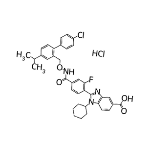 CC(C)c1ccc(-c2ccc(Cl)cc2)c(CONC(=O)c2ccc(-c3nc4cc(C(=O)O)ccc4n3C3CCCCC3)c(F)c2)c1.Cl